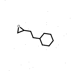 [CH](CC1CO1)C1CCCCC1